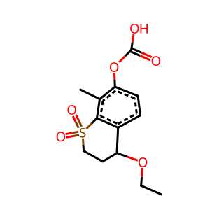 CCOC1CCS(=O)(=O)c2c1ccc(OC(=O)O)c2C